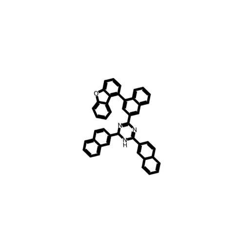 C1=CC2C=CC(C3=NC(c4cc(-c5cccc6oc7ccccc7c56)c5ccccc5c4)=NC(c4ccc5ccccc5c4)N3)=CC2C=C1